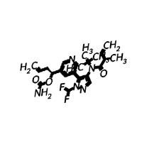 C=CC[C@H](OC(N)=O)c1cncc(-c2c(N(C(=O)[C@H](C)C=C)C(C)(C)C)cnn2C(F)F)c1